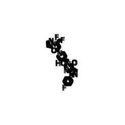 O=C(CC(C(F)F)n1cccn1)N1CCC(O)(Cn2cnc3c(cnn3-c3ccc(F)cc3)c2=O)CC1